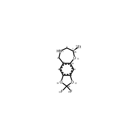 CC[C@@H]1CNCc2cc3c(cc2O1)OC(F)(F)O3